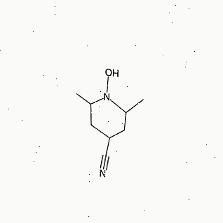 CC1CC(C#N)CC(C)N1O